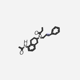 CCC(=O)N(C/C=C/c1ccccc1)C1CCc2c(cccc2NC(C)=O)C1